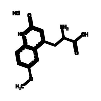 COc1ccc2[nH]c(=O)cc(CC(N)C(=O)O)c2c1.Cl